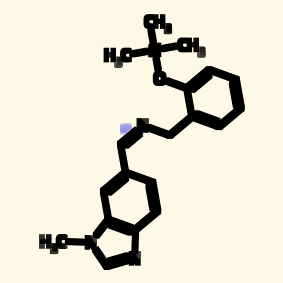 Cn1cnc2ccc(/C=N\Cc3ccccc3O[Si](C)(C)C)cc21